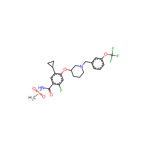 CS(=O)(=O)NC(=O)c1cc(C2CC2)c(OC2CCCN(Cc3cccc(OC(F)(F)F)c3)C2)cc1F